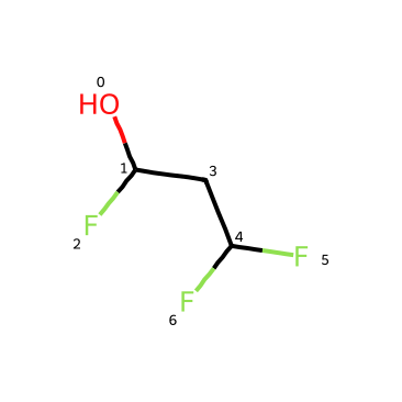 OC(F)CC(F)F